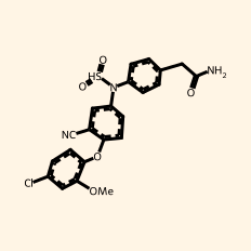 COc1cc(Cl)ccc1Oc1ccc(N(c2ccc(CC(N)=O)cc2)[SH](=O)=O)cc1C#N